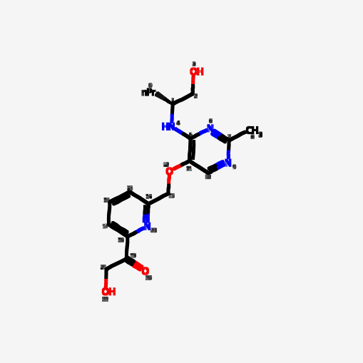 CCC[C@@H](CO)Nc1nc(C)ncc1OCc1cccc(C(=O)CO)n1